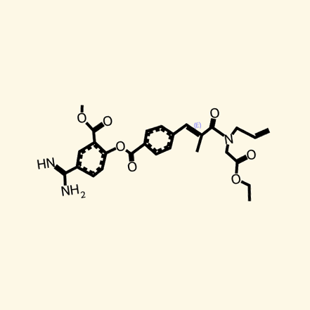 C=CCN(CC(=O)OCC)C(=O)/C(C)=C/c1ccc(C(=O)Oc2ccc(C(=N)N)cc2C(=O)OC)cc1